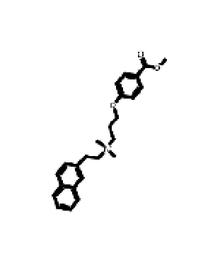 COC(=O)c1ccc(OCCC[N+](C)(C)CCc2ccc3ccccc3c2)cc1